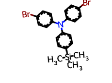 C[Si](C)(C)c1ccc(N(c2ccc(Br)cc2)c2ccc(Br)cc2)cc1